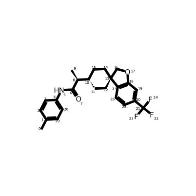 Cc1ccc(NC(=O)[C@@H](C)[C@H]2CC[C@@]3(CC2)COc2cc(C(F)(F)F)ccc23)cc1